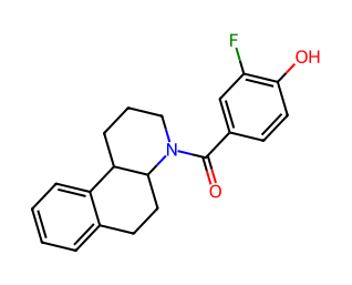 O=C(c1ccc(O)c(F)c1)N1CCCC2c3ccccc3CCC21